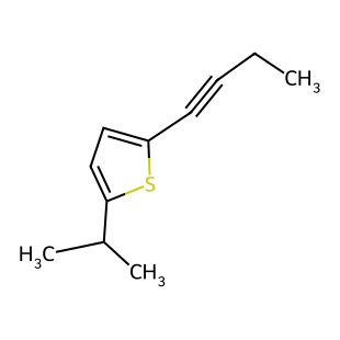 CCC#Cc1ccc(C(C)C)s1